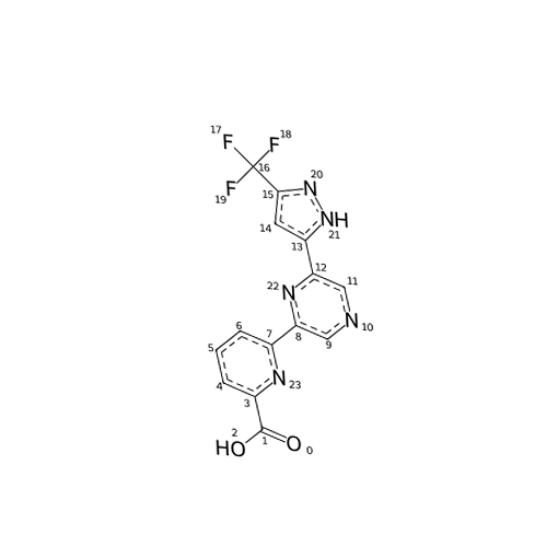 O=C(O)c1cccc(-c2cncc(-c3cc(C(F)(F)F)n[nH]3)n2)n1